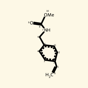 C=Cc1ccc(CNC(=O)OC)cc1